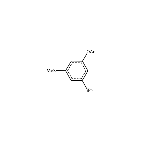 CSc1cc(OC(C)=O)cc([C](C)C)c1